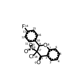 O=C1c2ccccc2OC(c2ccc(F)cc2)C1(Cl)[N+](=O)[O-]